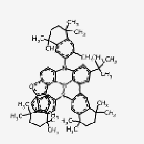 Cc1cc2c(cc1N1c3cc(C(C)(C)C)cc4c3B(c3c1ccc1oc5ccccc5c31)N(c1ccc3c(c1)C(C)(C)CCC3(C)C)c1cc3c(cc1-4)C(C)(C)CCC3(C)C)C(C)(C)CCC2(C)C